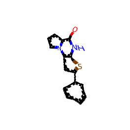 O=c1[nH]c2sc(-c3ccccc3)cc2n2cccc12